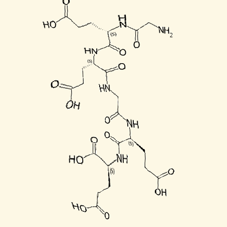 NCC(=O)N[C@@H](CCC(=O)O)C(=O)N[C@@H](CCC(=O)O)C(=O)NCC(=O)N[C@@H](CCC(=O)O)C(=O)N[C@@H](CCC(=O)O)C(=O)O